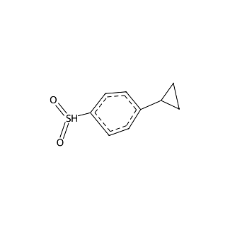 O=[SH](=O)c1ccc(C2CC2)cc1